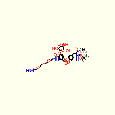 CNC(=O)[C@H](Cc1ccc(OS(=O)(=O)Cc2ccc(O[C@@H]3O[C@H](CO)[C@H](O)[C@H](O)[C@H]3O)c(C(=O)NCCOCCOCCOCCN=[N+]=[N-])c2)cc1)NC(=O)OC(C)(C)C